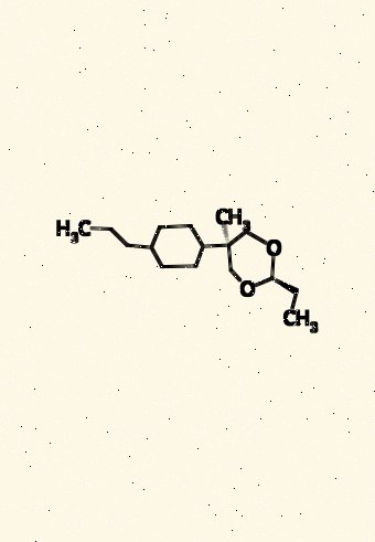 CCCC1CCC([C@]2(C)CO[C@H](CC)OC2)CC1